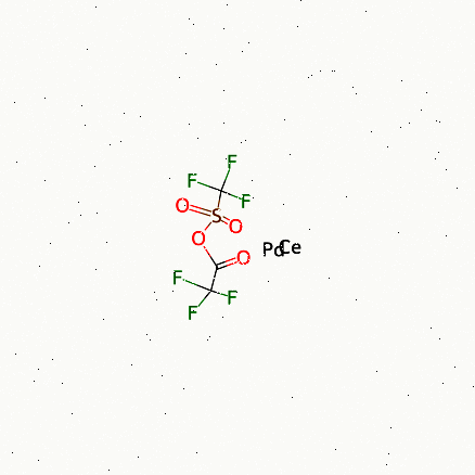 O=C(OS(=O)(=O)C(F)(F)F)C(F)(F)F.[Ce].[Pd]